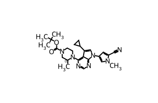 C[C@H]1CN(C(=O)OC(C)(C)C)CCN1c1ncnc2c1c(C1CC1)cn2-c1cc(C#N)n(C)c1